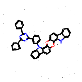 c1ccc(-c2nc(-c3ccccc3)nc(-c3cccc(-n4c5ccccc5c5ccc6c(c54)Oc4ccc5c([nH]c7ccccc75)c4O6)c3)n2)cc1